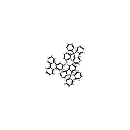 c1ccc(C2(c3cccc(N(c4ccc5c6ccccc6c6ccccc6c5c4)c4cccc5c4-c4ccccc4C54c5ccccc5-c5ccccc54)c3)c3ccccc3-c3ccccc32)cc1